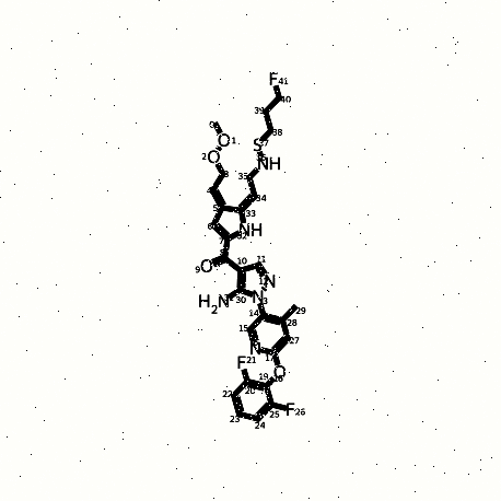 COOC/C=c1/cc(C(=O)c2cnn(-c3cnc(Oc4c(F)cccc4F)cc3C)c2N)[nH]/c1=C/CNSCCCF